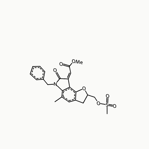 COC(=O)C=C1C(=O)N(Cc2ccccc2)c2c(C)cc3c(c21)OC(COS(C)(=O)=O)C3